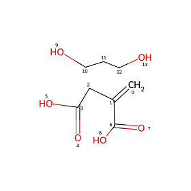 C=C(CC(=O)O)C(=O)O.OCCCO